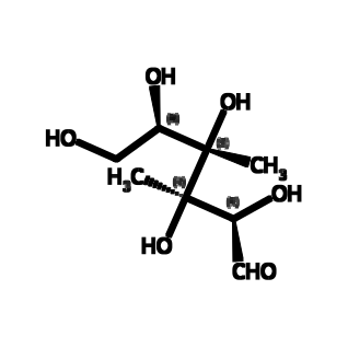 C[C@](O)([C@H](O)CO)[C@](C)(O)[C@@H](O)C=O